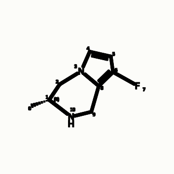 C[C@@H]1Cn2ccc(F)c2CN1